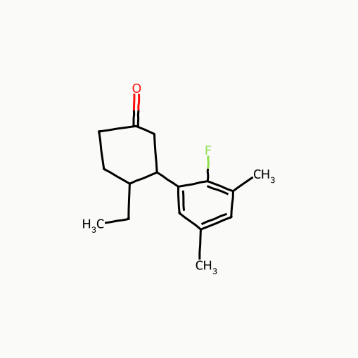 CCC1CCC(=O)CC1c1cc(C)cc(C)c1F